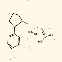 CN1CCCC1c1cccnc1.N.N.O=S(O)O